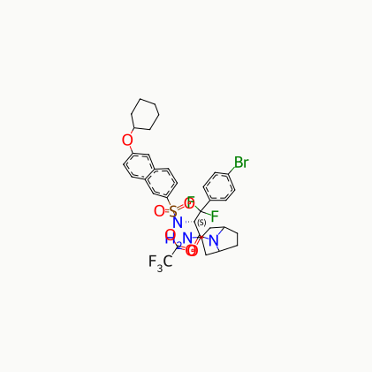 NC1CC2CCC(C1)N2C(=O)[C@H](N(OC(=O)C(F)(F)F)S(=O)(=O)c1ccc2cc(OC3CCCCC3)ccc2c1)C(F)(F)c1ccc(Br)cc1